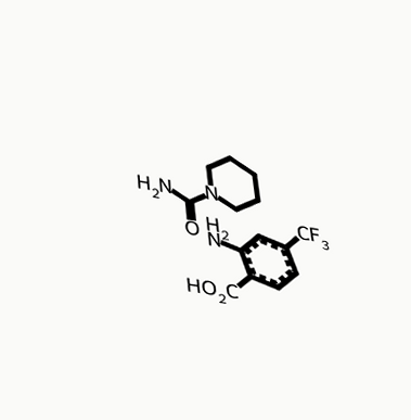 NC(=O)N1CCCCC1.Nc1cc(C(F)(F)F)ccc1C(=O)O